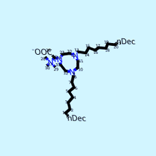 CCCCCCCCCCCCCCCCCCN1CCN(CCCCCCCCCCCCCCCCCC)CCN(C(C(=O)[O-])[N+](C)(C)C)CC1